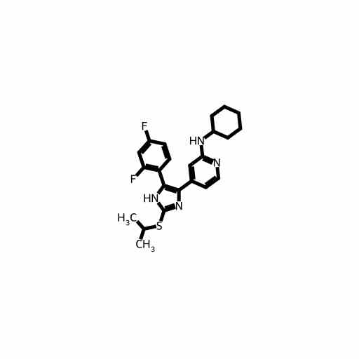 CC(C)Sc1nc(-c2ccnc(NC3CCCCC3)c2)c(-c2ccc(F)cc2F)[nH]1